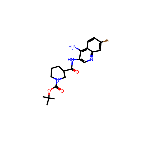 CC(C)(C)OC(=O)N1CCCC(C(=O)Nc2cnc3cc(Br)ccc3c2N)C1